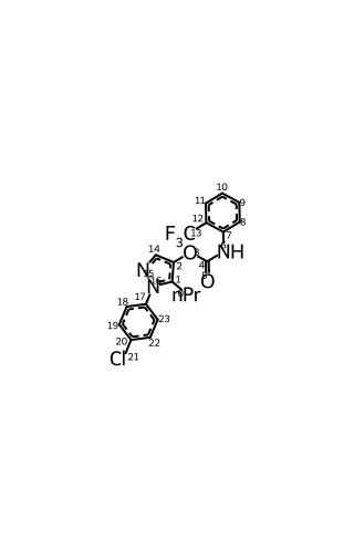 CCCc1c(OC(=O)Nc2ccccc2C(F)(F)F)cnn1-c1ccc(Cl)cc1